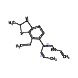 C=CN/C=C(\C=C/C)c1ccc2c(c1C=C)SC(C)N2